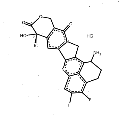 CC[C@@]1(O)C(=O)OCc2c1cc1n(c2=O)Cc2c-1nc1cc(F)c(F)c3c1c2C(N)CC3.Cl